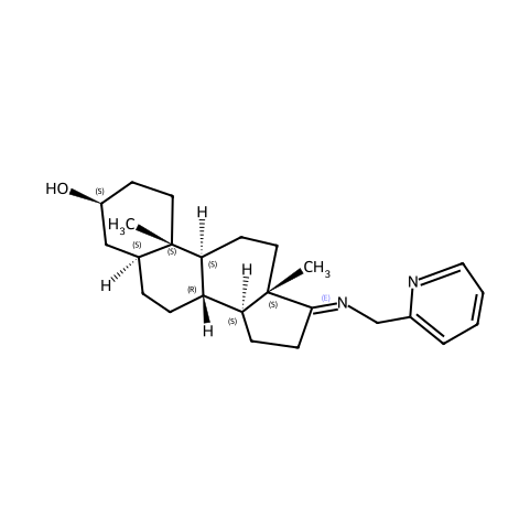 C[C@]12CC[C@H](O)C[C@@H]1CC[C@@H]1[C@@H]2CC[C@]2(C)/C(=N/Cc3ccccn3)CC[C@@H]12